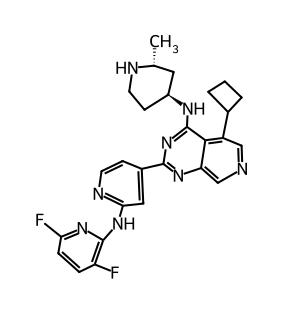 C[C@@H]1C[C@@H](Nc2nc(-c3ccnc(Nc4nc(F)ccc4F)c3)nc3cncc(C4CCC4)c23)CCN1